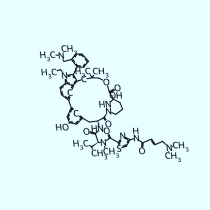 CCn1c(-c2ccccc2CN(C)C)c2c3cc(ccc31)-c1cc(O)cc(c1)C[C@H](NC(=O)[C@H](C(C)C)N(C)C(=O)c1nc(NC(=O)/C=C/CN(C)C)cs1)C(=O)N1CCC[C@@](O)(N1)C(=O)OCC(C)(C)C2